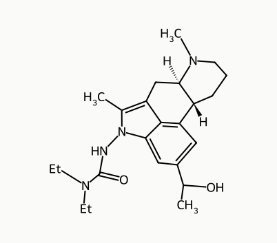 CCN(CC)C(=O)Nn1c(C)c2c3c(cc(C(C)O)cc31)[C@H]1CCCN(C)[C@@H]1C2